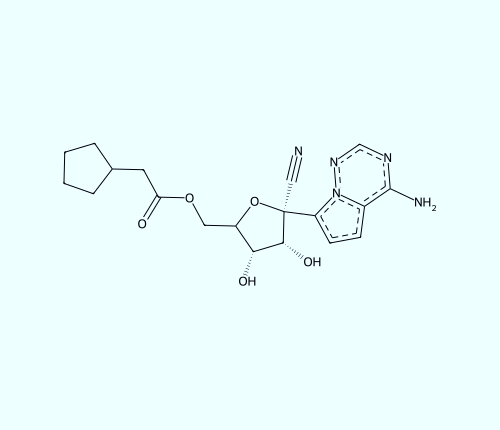 N#C[C@@]1(c2ccc3c(N)ncnn23)OC(COC(=O)CC2CCCC2)[C@@H](O)[C@H]1O